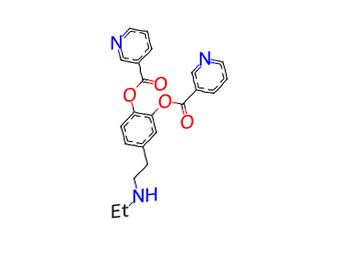 CCNCCc1ccc(OC(=O)c2cccnc2)c(OC(=O)c2cccnc2)c1